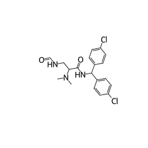 CN(C)C(CNC=O)C(=O)NC(c1ccc(Cl)cc1)c1ccc(Cl)cc1